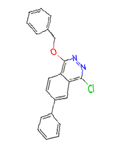 Clc1nnc(OCc2ccccc2)c2ccc(-c3ccccc3)cc12